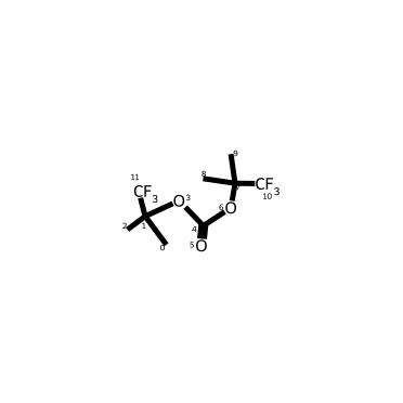 CC(C)(OC(=O)OC(C)(C)C(F)(F)F)C(F)(F)F